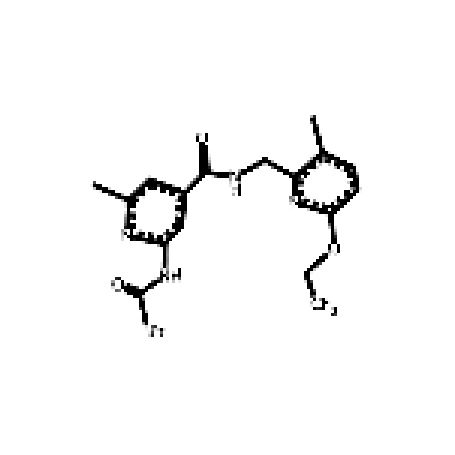 Cc1cc(C(=O)NCc2nc(OCC(F)(F)F)ccc2C)cc(NC(=O)C(C)C)n1